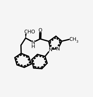 Cc1cc(C(=O)N[C@H](C=O)Cc2ccccc2)n(-c2ccccc2)n1